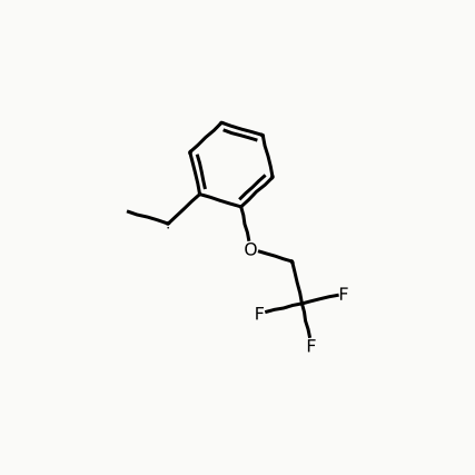 C[CH]c1ccccc1OCC(F)(F)F